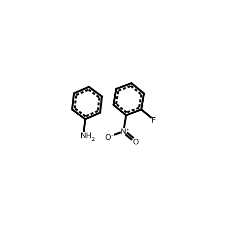 Nc1ccccc1.O=[N+]([O-])c1ccccc1F